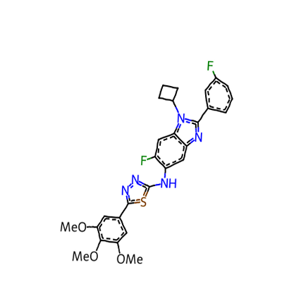 COc1cc(-c2nnc(Nc3cc4nc(-c5cccc(F)c5)n(C5CCC5)c4cc3F)s2)cc(OC)c1OC